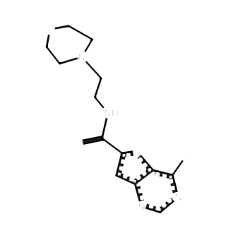 O=C(NCCN1CCOCC1)c1cc2ncnc(Cl)c2s1